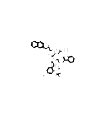 COc1ccc(CC(=O)N(C(=O)[C@H](Cc2c[nH]c3ccccc23)NC(=O)OC(C)(C)C)C(=O)[C@H](CC(=O)O)NC(=O)[C@@](C)(N)Cc2ccc3ccccc3c2)cc1